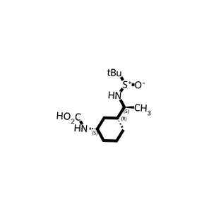 C[C@H](N[S+]([O-])C(C)(C)C)[C@@H]1CCC[C@H](NC(=O)O)C1